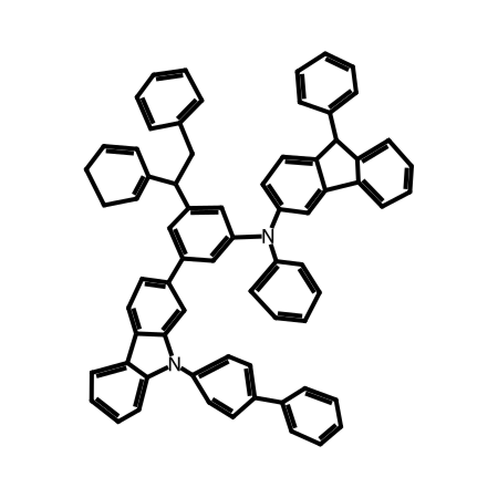 C1=CC(C(Cc2ccccc2)c2cc(-c3ccc4c5ccccc5n(-c5ccc(-c6ccccc6)cc5)c4c3)cc(N(c3ccccc3)c3ccc4c(c3)-c3ccccc3C4c3ccccc3)c2)=CCC1